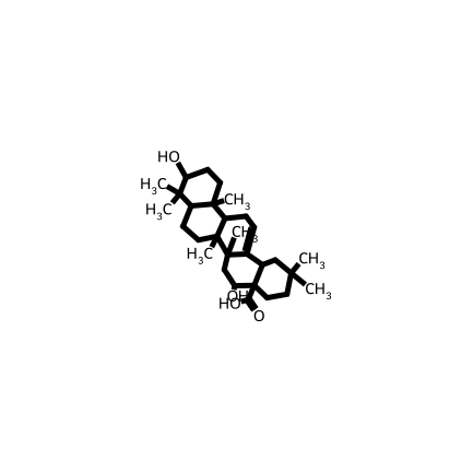 CC1(C)CCC2(C(=O)O)C(O)CC3(C)C(=CCC4C5(C)CCC(O)C(C)(C)C5CCC43C)C2C1